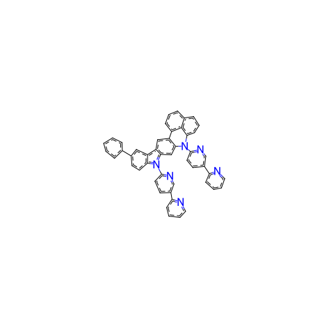 c1ccc(-c2ccc3c(c2)c2cc4c(cc2n3-c2ccc(-c3ccccn3)cn2)N(c2ccc(-c3ccccn3)cn2)c2cccc3cccc-4c23)cc1